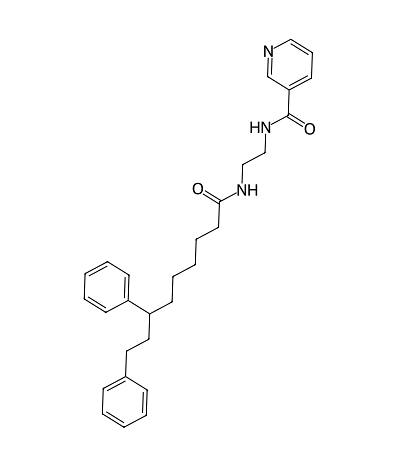 O=C(CCCCCC(CCc1ccccc1)c1ccccc1)NCCNC(=O)c1cccnc1